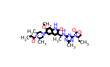 C=CC(=O)N1[C@H](C)CN(c2cc3cc([C@H](C)Nc4nc(C)nc(N5C(=O)OC[C@@H]5CC)n4)c(=O)[nH]c3cc2OC)C[C@@H]1C